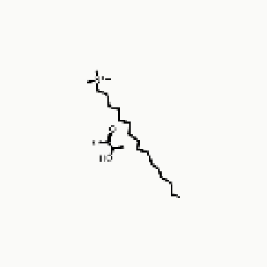 CC(O)C(=O)[O-].CCCCCCCCCCCCCCCC[N+](C)(C)C